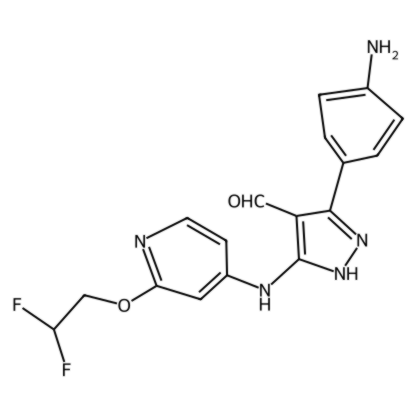 Nc1ccc(-c2n[nH]c(Nc3ccnc(OCC(F)F)c3)c2C=O)cc1